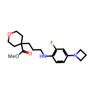 COC(=O)C1(CCCNc2ccc(N3CCC3)cc2F)CCOCC1